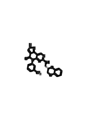 O=c1c2c[nH]nc2c2cnc(NC[C@H]3COc4ccccc4O3)nc2n1-c1cccc(C(F)(F)F)c1